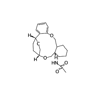 CS(=O)(=O)N[C@H]1CCCC2COc3ccccc3[C@H]3CC[C@H](CC3)OC[C@H]21